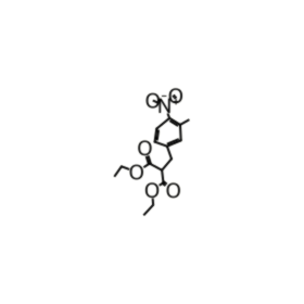 CCOC(=O)C(Cc1ccc([N+](=O)[O-])c(C)c1)C(=O)OCC